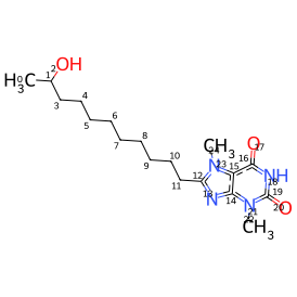 CC(O)CCCCCCCCCc1nc2c(c(=O)[nH]c(=O)n2C)n1C